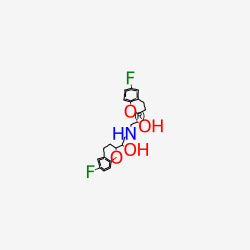 OC(CNCC(O)[C@H]1CCc2cc(F)ccc2O1)C1CCc2cc(F)ccc2O1